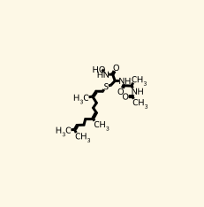 CC(=O)NC(C)C(=O)NC(CSCC=C(C)CCC=C(C)CCC=C(C)C)C(=O)NO